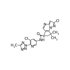 Cc1nnn(-c2ncc(NC(=O)[C@@H]3CC(C)(C)c4c3cnc3cc(Cl)nn43)cc2Cl)n1